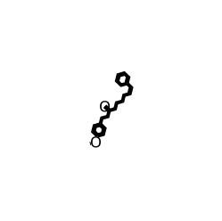 COc1ccc(CCC(=O)CCCC/C=C\C2=CC=C=CC2)cc1